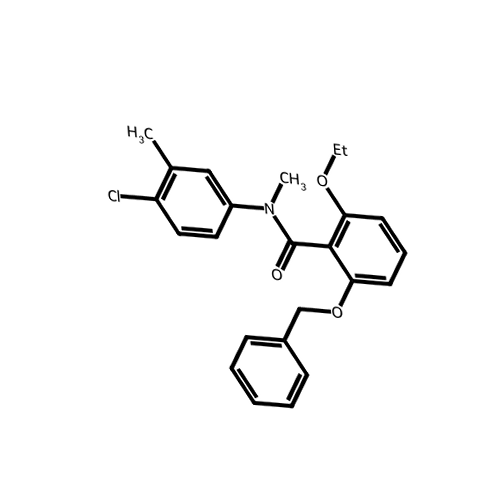 CCOc1cccc(OCc2ccccc2)c1C(=O)N(C)c1ccc(Cl)c(C)c1